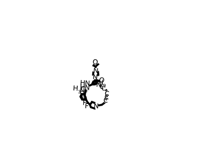 C[C@H]1NC(=N)c2cc(N3CCN(C4COC4)CC3)c(=O)n(c2N)CCCCCCCCN2CCC(CC2)C(F)(F)c2cccc1c2F